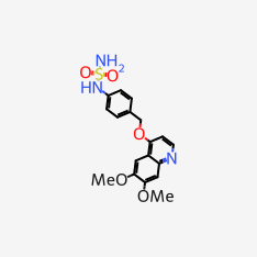 COc1cc2nccc(OCc3ccc(NS(N)(=O)=O)cc3)c2cc1OC